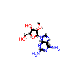 COC1C(O)[C@@H](CO)O[C@H]1n1cnc2c(N)nc(N)nc21